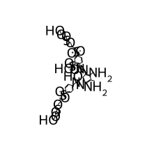 Cc1c(N)c(/N=N/c2ccc(S(=O)(=O)CCOSOOO)cc2)c(O)c(/N=N/c2ccc(S(=O)(=O)CCOSOOO)cc2S(=O)(=O)O)c1N